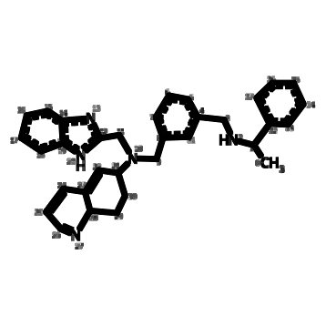 CC(NCc1cccc(CN(Cc2nc3ccccc3[nH]2)C2C=C3C=CC=NC3CC2)c1)c1ccccc1